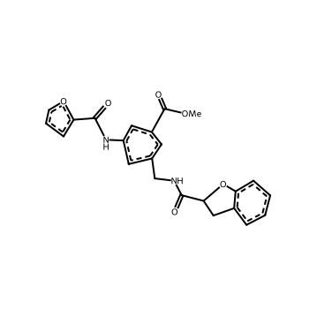 COC(=O)c1cc(CNC(=O)C2Cc3ccccc3O2)cc(NC(=O)c2ccco2)c1